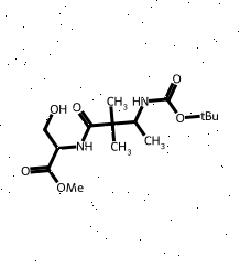 COC(=O)C(CO)NC(=O)C(C)(C)C(C)NC(=O)OC(C)(C)C